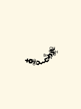 CC(NS(=O)(=O)c1cnc(N2CCC(CCCC3CCN(S(=O)(=O)c4ccc(C(C)(C)C)cc4)CC3)CC2)c(Br)c1)C(=O)O